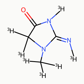 [3H]N=C1N([3H])C(=O)C([3H])([3H])N1C([3H])([3H])[3H]